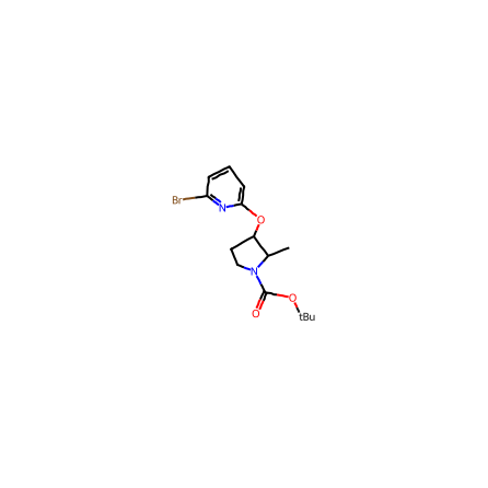 CC1C(Oc2cccc(Br)n2)CCN1C(=O)OC(C)(C)C